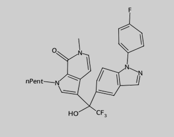 CCCCCn1cc(C(O)(c2ccc3c(cnn3-c3ccc(F)cc3)c2)C(F)(F)F)c2ccn(C)c(=O)c21